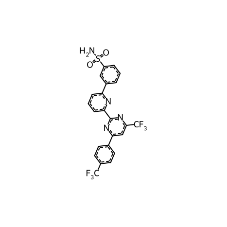 NS(=O)(=O)c1cccc(-c2cccc(-c3nc(-c4ccc(C(F)(F)F)cc4)cc(C(F)(F)F)n3)n2)c1